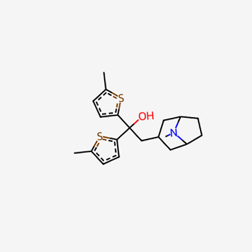 Cc1ccc(C(O)(CC2CC3CCC(C2)N3C)c2ccc(C)s2)s1